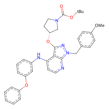 COc1ccc(Cn2nc(O[C@@H]3CCN(C(=O)OC(C)(C)C)C3)c3c(Nc4cccc(Oc5ccccc5)c4)ccnc32)cc1